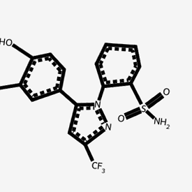 NS(=O)(=O)c1ccccc1-n1nc(C(F)(F)F)cc1-c1ccc(O)c(I)c1